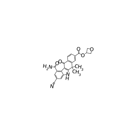 CC1(C)c2cc(C(=O)OC3COC3)ccc2C(=O)c2c1[nH]c1cc(C#N)cc(C(N)=O)c21